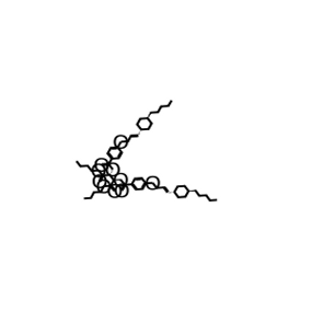 CCCCC[C@H]1CC[C@H](/C=C/COc2ccc(C(=O)O[C@@H](C(=O)OCCCC)[C@@H](OC(=O)c3ccc(OC/C=C/[C@H]4CC[C@H](CCCCC)CC4)cc3)C(=O)OCCCC)cc2)CC1